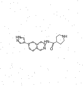 O=C(Nc1cc2cc(-c3cn[nH]c3)ccc2cn1)C1CCNCC1